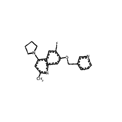 Cc1cc(N2CCCC2)c2cc(F)c(OCc3cccnc3)cc2n1